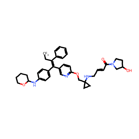 O=C(/C=C/CNC1(COc2ccc(/C(=C(/CC(F)(F)F)c3ccccc3)c3ccc(NC4CCCCO4)cc3)cn2)CC1)N1CCC(O)C1